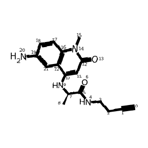 C#CCCNC(=O)[C@@H](C)Nc1cc(=O)n(C)c2ccc(N)cc12